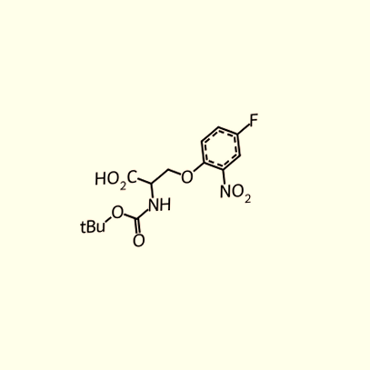 CC(C)(C)OC(=O)NC(COc1ccc(F)cc1[N+](=O)[O-])C(=O)O